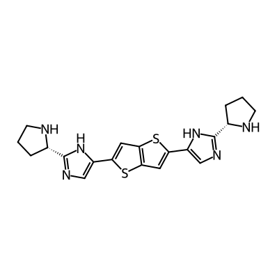 c1nc([C@@H]2CCCN2)[nH]c1-c1cc2sc(-c3cnc([C@@H]4CCCN4)[nH]3)cc2s1